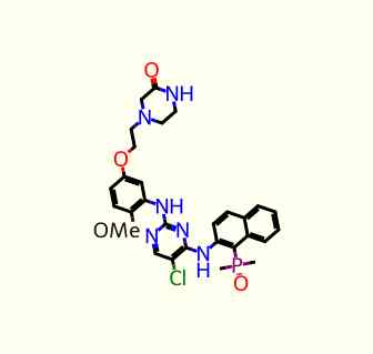 COc1ccc(OCCN2CCNC(=O)C2)cc1Nc1ncc(Cl)c(Nc2ccc3ccccc3c2P(C)(C)=O)n1